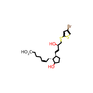 O=C(O)CCC/C=C\C[C@H]1C(O)CC[C@@H]1/C=C/[C@@H](O)CSc1cc(Br)cs1